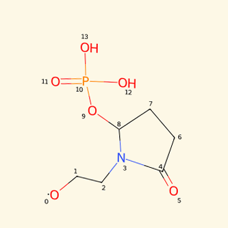 [O]CCN1C(=O)CCC1OP(=O)(O)O